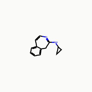 C1=Cc2ccccc2CC(NC2CC2)=N1